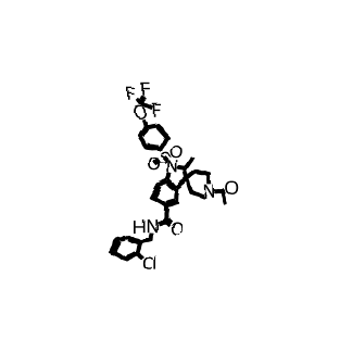 CC(=O)N1CCC2(CC1)c1cc(C(=O)NCc3ccccc3Cl)ccc1N(S(=O)(=O)c1ccc(OC(F)(F)F)cc1)C2C